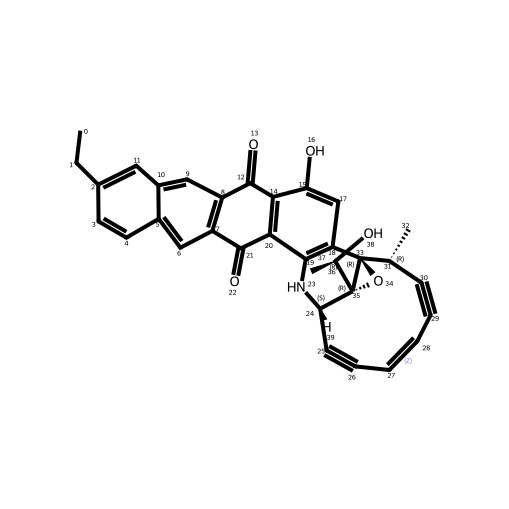 CCc1ccc2cc3c(cc2c1)C(=O)c1c(O)cc2c(c1C3=O)N[C@H]1C#C/C=C\C#C[C@@H](C)[C@@]23O[C@@]13[C@@H](C)O